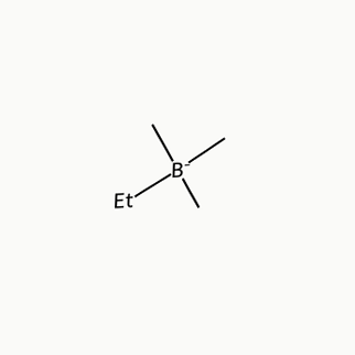 CC[B-](C)(C)C